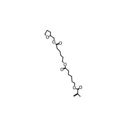 C=C(C)C(=O)OCCCCCC(=O)OCCCCCC(=O)OCC1CCCO1